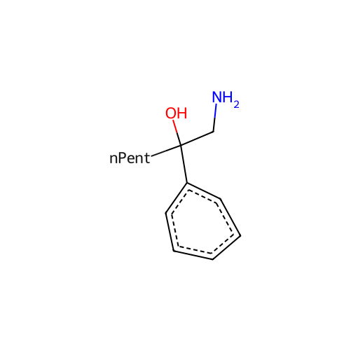 CCCCCC(O)(CN)c1ccccc1